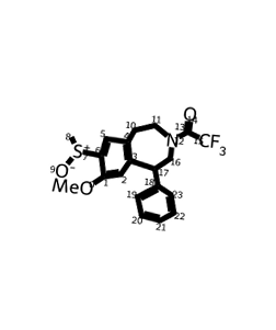 COc1cc2c(cc1[S+](C)[O-])CCN(C(=O)C(F)(F)F)CC2c1ccccc1